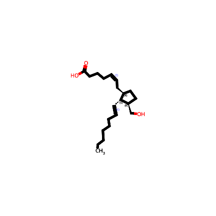 CCCCCC/C=C/[C@H]1[C@H](CO)CC[C@@H]1C/C=C\CCCC(=O)O